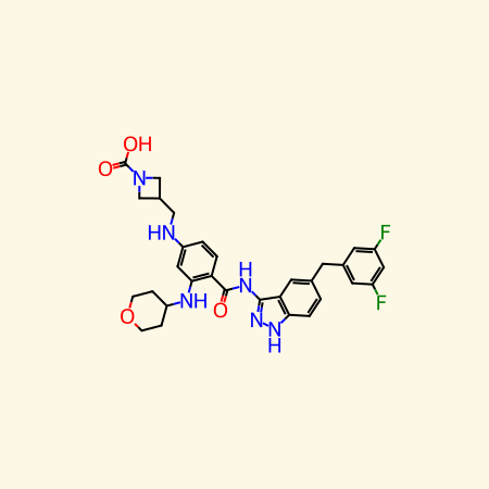 O=C(Nc1n[nH]c2ccc(Cc3cc(F)cc(F)c3)cc12)c1ccc(NCC2CN(C(=O)O)C2)cc1NC1CCOCC1